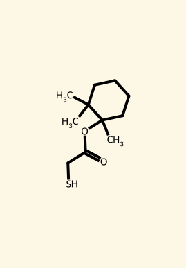 CC1(C)CCCCC1(C)OC(=O)CS